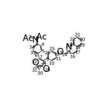 CC(=O)N(C(C)=O)c1ccc(C2=C(c3ccc(OCc4ccc5ccccc5n4)cc3)C(=O)C(C)(C)O2)cc1